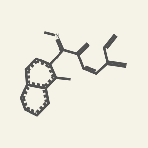 C=CC(=C)/C=C\C(=C)/C(=N/C)c1ccc2ccccc2c1C